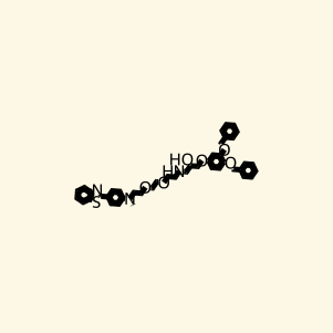 CN(CCOCCOCCNCC(O)COc1ccc(OCc2ccccc2)c(OCc2ccccc2)c1)c1ccc(-c2nc3ccccc3s2)cc1